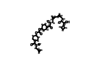 O=C(OC1CCN(C(=O)[S+]([O-])CC2CC2)CC1)OC1CCN(C(=O)[S+]([O-])CC2CC2C2CC2C[S+]([O-])C(O)N2CCC2)CC1